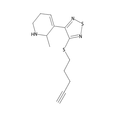 C#CCCCSc1nsnc1C1=CCCNC1C